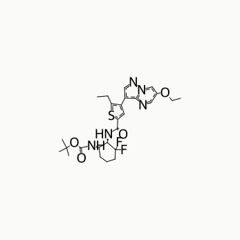 CCOc1cnc2c(-c3cc(C(=O)N[C@@H]4[C@H](NC(=O)OC(C)(C)C)CCCC4(F)F)sc3CC)cnn2c1